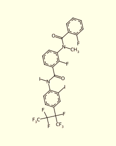 CN(C(=O)c1ccccc1F)c1cccc(C(=O)N(I)c2ccc(C(F)(C(F)(F)F)C(F)(F)C(F)(F)F)cc2I)c1F